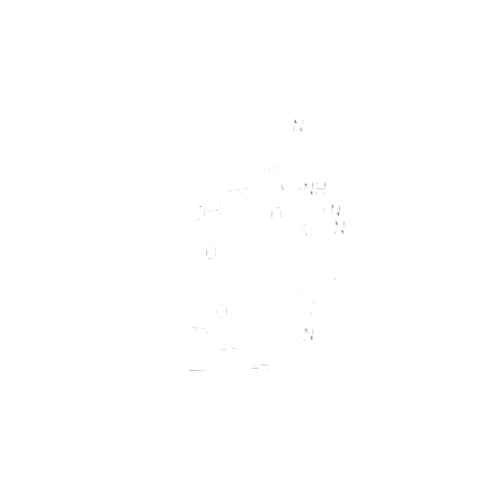 C=CCc1ccccc1OCCOc1ccc(C=C(C#N)C(=O)Nc2nnc(-c3ccc(N(C)C)cc3)s2)cc1OC